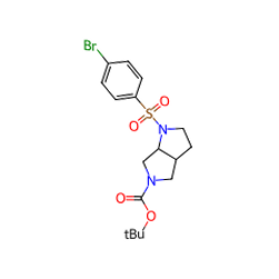 CC(C)(C)OC(=O)N1CC2CCN(S(=O)(=O)c3ccc(Br)cc3)C2C1